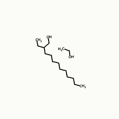 CCCCCCCCCCC(CC)CO.CCO